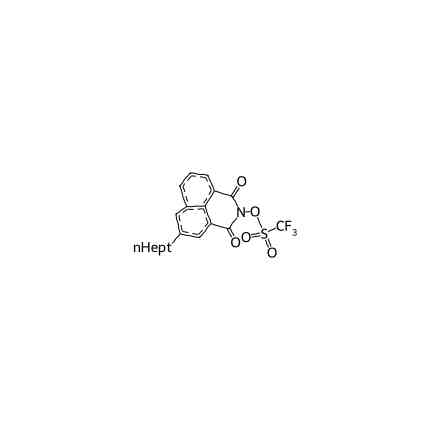 CCCCCCCc1cc2c3c(cccc3c1)C(=O)N(OS(=O)(=O)C(F)(F)F)C2=O